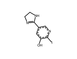 Oc1cc(C2=NCCN2)cnc1I